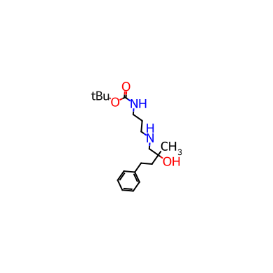 CC(O)(CCc1ccccc1)CNCCCNC(=O)OC(C)(C)C